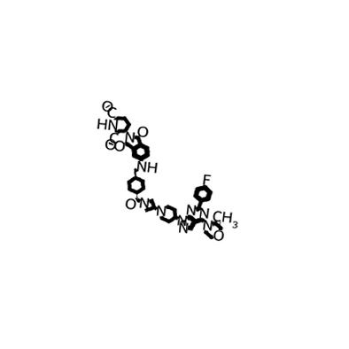 C[C@H]1COCCN1c1nc(-c2ccc(F)cc2)nc2c1cnn2C1CCN(C2CN(C(=O)[C@H]3CC[C@H](CNc4ccc5c(c4)C(=O)N(C4CCC(=C=O)NC4=C=O)C5=O)CC3)C2)CC1